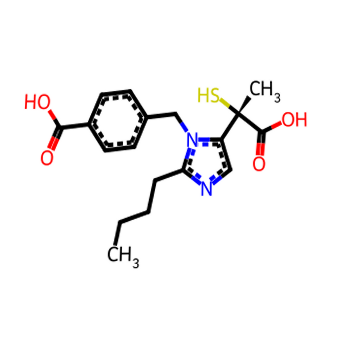 CCCCc1ncc([C@](C)(S)C(=O)O)n1Cc1ccc(C(=O)O)cc1